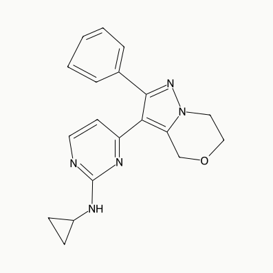 c1ccc(-c2nn3c(c2-c2ccnc(NC4CC4)n2)COCC3)cc1